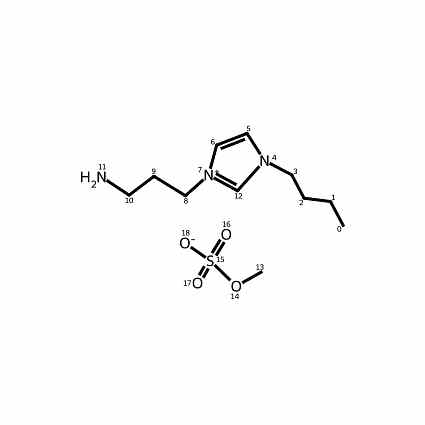 CCCCn1cc[n+](CCCN)c1.COS(=O)(=O)[O-]